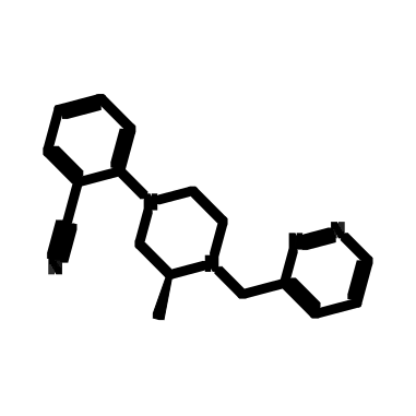 C[C@H]1CN(c2ccccc2C#N)CCN1Cc1cccnn1